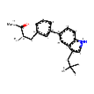 CCC(C)(C)Cc1c[nH]c2ccc(-c3cccc(C[C@H](C)C(=O)OC)c3)cc12